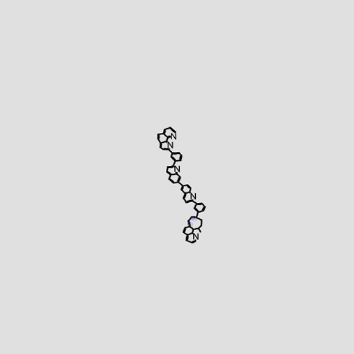 CC1CC/C(c2cccc(-c3ccc4cc(-c5ccc6ccc(-c7cccc(-c8ccc9ccc%10cccnc%10c9n8)c7)nc6c5)ccc4n3)c2)=C\C=C2\C=Cc3cccnc3C21